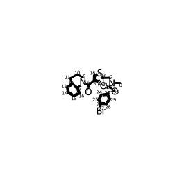 CN(Cc1nc(C(=O)N2CCCc3ccccc32)cs1)S(=O)(=O)c1ccc(Br)cc1